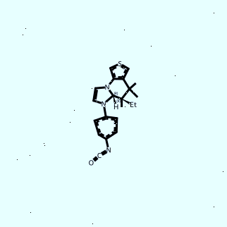 CC[C@@]1(C)[C@@H]2N(c3ccc(N=C=O)cc3)C=CN2c2cscc2C1(C)C